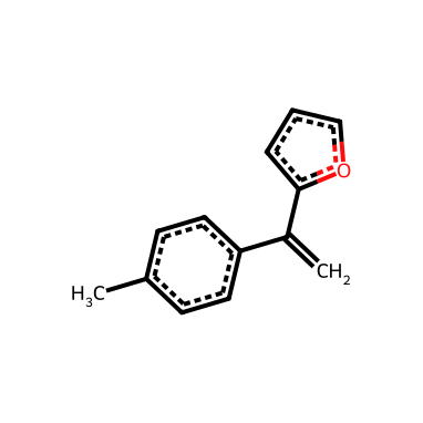 C=C(c1ccc(C)cc1)c1ccco1